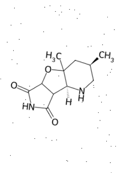 C[C@H]1CN[C@H]2C3C(=O)NC(=O)C3OC2(C)C1